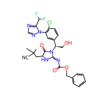 CC(C)(C#N)CC1NC(=NC(=O)OCc2ccccc2)N([C@H](CO)c2ccc(Cl)c(-n3ncnc3C(F)F)c2)C1=O